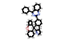 c1ccc(-c2nc(-c3ccc4c(c3)C3(c5ccccc5Oc5ccccc53)c3ncccc3-4)nc3ccccc23)cc1